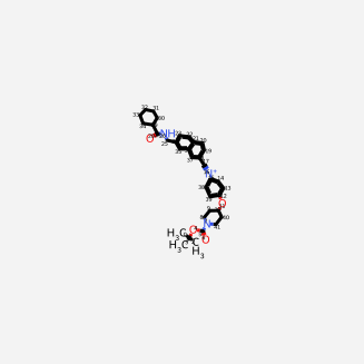 CC(C)(C)OC(=O)N1CCC(Oc2ccc([N+]#Cc3ccc4ccc(CNC(=O)C5CCCCC5)cc4c3)cc2)CC1